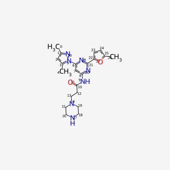 Cc1cc(C)n(-c2cc(NC(=O)CCN3CCNCC3)nc(-c3ccc(C)o3)n2)n1